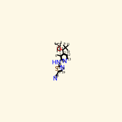 Cc1c(C(O[SiH](C)C)C(C)(C)C)ccnc1Nc1ncc(C#N)s1